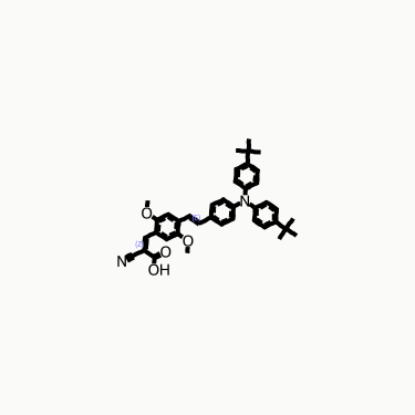 COc1cc(/C=C/c2ccc(N(c3ccc(C(C)(C)C)cc3)c3ccc(C(C)(C)C)cc3)cc2)c(OC)cc1/C=C(/C#N)C(=O)O